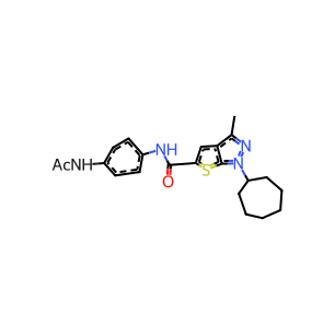 CC(=O)Nc1ccc(NC(=O)c2cc3c(C)nn(C4CCCCCC4)c3s2)cc1